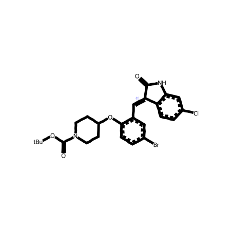 CC(C)(C)OC(=O)N1CCC(Oc2ccc(Br)cc2/C=C2/C(=O)Nc3cc(Cl)ccc32)CC1